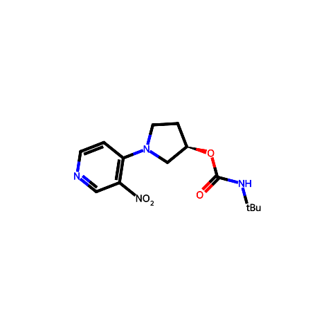 CC(C)(C)NC(=O)O[C@@H]1CCN(c2ccncc2[N+](=O)[O-])C1